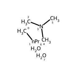 CCCC.CN(C)C.O.O